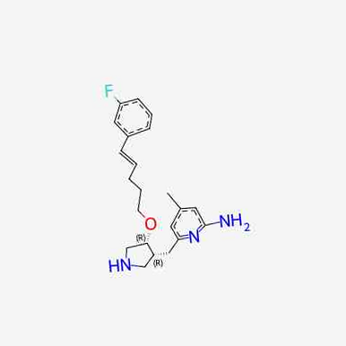 Cc1cc(N)nc(C[C@@H]2CNC[C@@H]2OCCCC=Cc2cccc(F)c2)c1